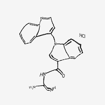 Cl.N=C(N)NC(=O)c1cn(-c2ccnc3ccccc23)c2ccccc12